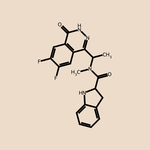 CC(c1n[nH]c(=O)c2cc(F)c(F)cc12)N(C)C(=O)C1Cc2ccccc2N1